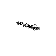 CN(C)C1(CS(=O)(=O)N2CCN(c3cnc(OCC4CCN(C5(C)CC5)CC4)cn3)CC2)CC1